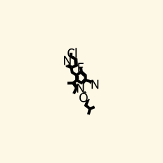 Cc1c(C)n(COCCC(C)C)c2c(C#N)cc(F)c(Cc3ccc(Cl)nc3)c12